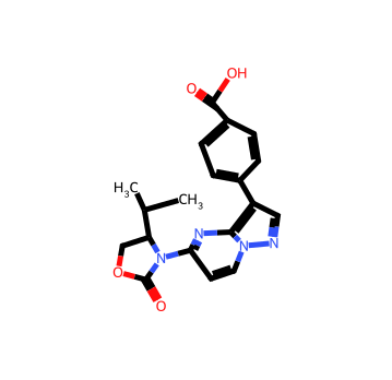 CC(C)C1COC(=O)N1c1ccn2ncc(-c3ccc(C(=O)O)cc3)c2n1